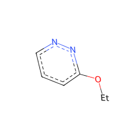 [CH2]COc1cccnn1